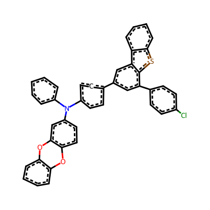 Clc1ccc(-c2cc(-c3ccc(N(c4ccccc4)c4ccc5c(c4)Oc4ccccc4O5)cc3)cc3c2sc2ccccc23)cc1